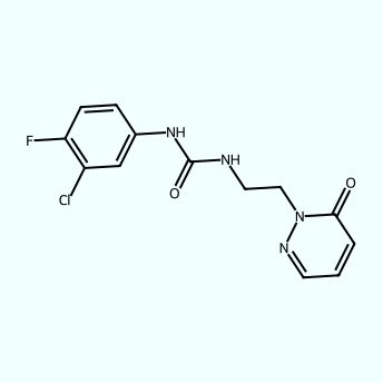 O=C(NCCn1ncccc1=O)Nc1ccc(F)c(Cl)c1